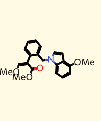 COC=C(C(=O)OC)c1ccccc1Cn1ccc2c(OC)cccc21